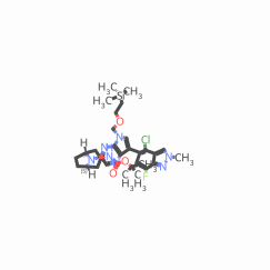 Cn1cc2c(Cl)c(-c3cn(COCC[Si](C)(C)C)c4nc(N5[C@@H]6CC[C@H]5C[C@@H](NC(=O)OC(C)(C)C)C6)cnc34)cc(F)c2n1